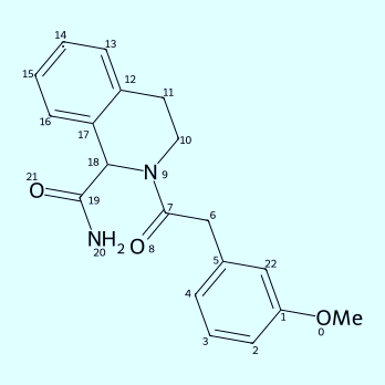 COc1cccc(CC(=O)N2CCc3c[c]ccc3C2C(N)=O)c1